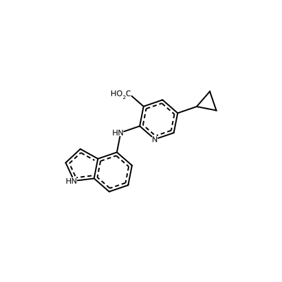 O=C(O)c1cc(C2CC2)cnc1Nc1cccc2[nH]ccc12